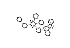 c1ccc(-c2cccc(-c3nc(-c4ccccc4)c(-c4cccc(-c5nc6ccccc6c6nc7ccccn7c56)c4)c(-c4ccccc4)n3)c2)cc1